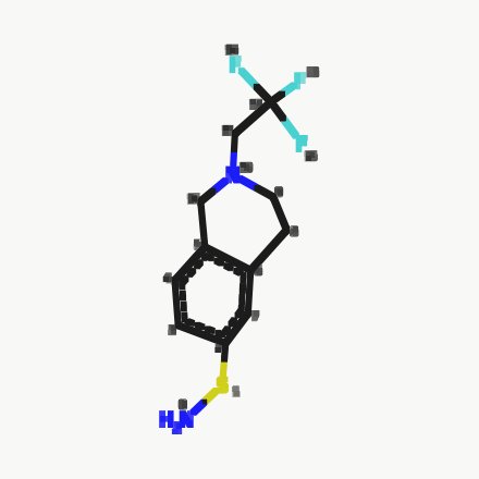 NSc1ccc2c(c1)CCN(CC(F)(F)F)C2